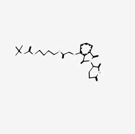 CC(C)(C)OC(=O)NCCCCNC(=O)CNc1cccc2c1C(=O)N(C1CCC(=O)NC1=O)C2=O